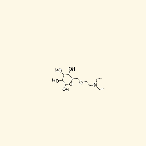 CCN(CC)CCOCC1OC(O)C(O)C(O)C1O